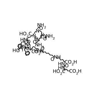 NC(=O)CN1CCN(CC(N)=O)CCN(C(CCC(=O)N[C@H](Cc2ccc(O)c(I)c2)C(=O)NC(Cc2ccccc2)C(=O)N[C@H](CCCCNC(=O)CCCCCCC(=O)NCCCCC(NC(=O)N[C@@H](CCC(=O)O)C(=O)O)C(=O)O)C(=O)O)C(=O)O)CCN(CC(N)=O)CC1